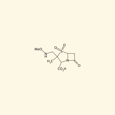 CONCC1(C)C(C(=O)O)N2C(=O)CC2S1(=O)=O